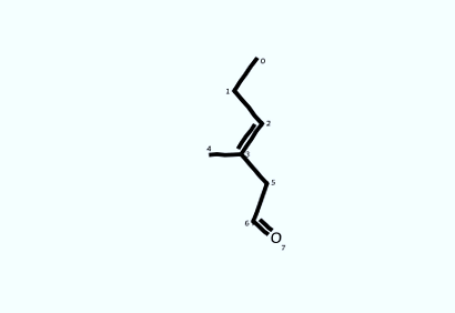 CC/C=C(\C)C[C]=O